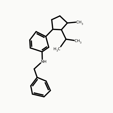 CC(C)C1C(C)CCC1c1cccc(NCc2ccccc2)c1